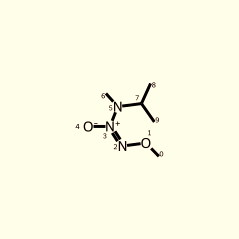 CO/N=[N+](/[O-])N(C)C(C)C